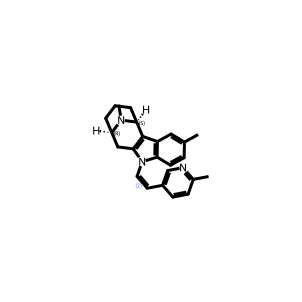 Cc1ccc2c(c1)c1c(n2/C=C\c2ccc(C)nc2)C[C@H]2CCC[C@@H]1N2C